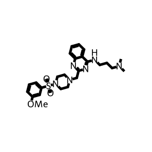 COc1cccc(S(=O)(=O)N2CCN(Cc3nc(NCCCN(C)C)c4ccccc4n3)CC2)c1